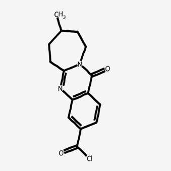 CC1CCc2nc3cc(C(=O)Cl)ccc3c(=O)n2CC1